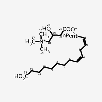 CCCCC/C=C\C/C=C\CCCCCCCC(=O)O.C[N+](C)(C)CC(O)CC(=O)[O-]